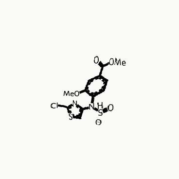 COC(=O)c1ccc(N(c2csc(Cl)n2)[SH](=O)=O)c(OC)c1